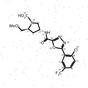 COC[C@@H]1C[C@@H](NC(=O)c2nnc(-c3cc(C(F)(F)F)ccc3Cl)o2)CN1C(=O)O